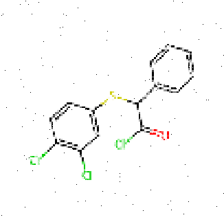 O=C(Cl)C(Sc1ccc(Cl)c(Cl)c1)c1ccccc1